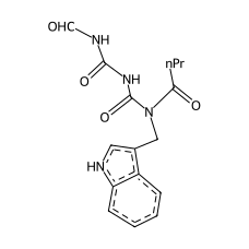 CCCC(=O)N(Cc1c[nH]c2ccccc12)C(=O)NC(=O)NC=O